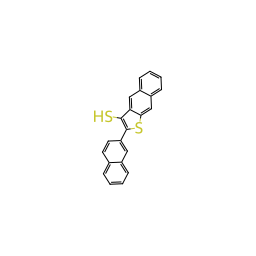 Sc1c(-c2ccc3ccccc3c2)sc2cc3ccccc3cc12